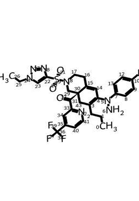 CCCC1=C(N(N)c2ccc(F)cc2)C=C2CCN(S(=O)(=O)c3cn(CC)nn3)C[C@@]2(C(=O)c2cc(C(F)(F)F)ccn2)C1